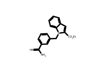 CCOC(=O)c1cc2ccccc2n1Cc1cccc(C(=N)N)c1